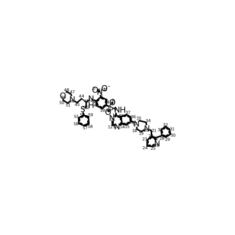 O=[N+]([O-])c1cc(S(=O)(=O)Nc2ncnc3cc(N4CCN(Cc5cccnc5-c5ccccc5)CC4)ccc23)ccc1N[C@H](CCN1CCOCC1)CSc1ccccc1